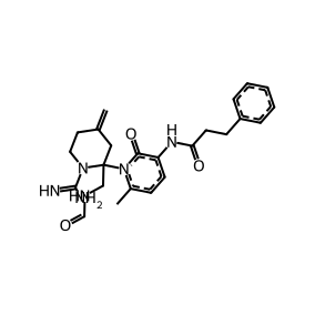 C=C1CCN(C(=N)N)C(CNC=O)(n2c(C)ccc(NC(=O)CCc3ccccc3)c2=O)C1